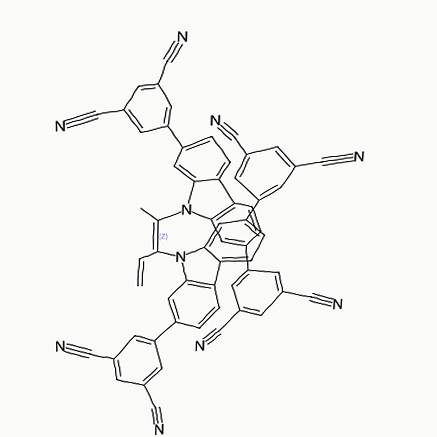 C=C/C(=C(\C)n1c2cc(-c3cc(C#N)cc(C#N)c3)ccc2c2ccc(-c3cc(C#N)cc(C#N)c3)cc21)n1c2cc(-c3cc(C#N)cc(C#N)c3)ccc2c2ccc(-c3cc(C#N)cc(C#N)c3)cc21